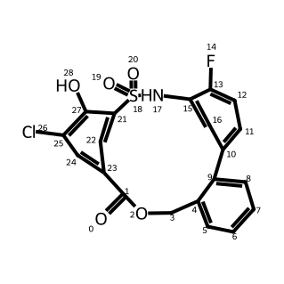 O=C1OCc2ccccc2-c2ccc(F)c(c2)NS(=O)(=O)c2cc1cc(Cl)c2O